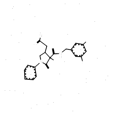 NC(=O)CC1CN(c2ccccc2)C(=O)C1(O)C(=O)NCc1cc(F)cc(Cl)c1